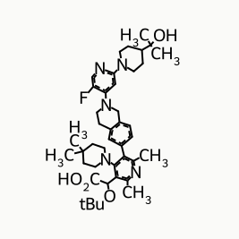 Cc1nc(C)c(C(OC(C)(C)C)C(=O)O)c(N2CCC(C)(C)CC2)c1-c1ccc2c(c1)CCN(c1cc(N3CCC(C(C)(C)O)CC3)ncc1F)C2